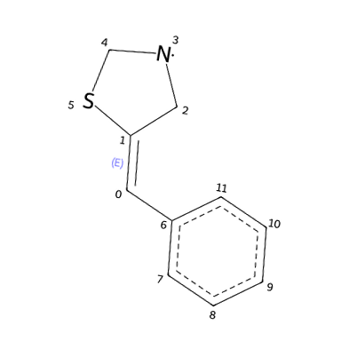 C(=C1/C[N]CS1)/c1ccccc1